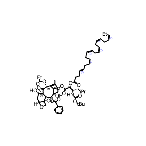 CC/C=C\C/C=C\C/C=C\C/C=C\C/C=C\C/C=C/CCC(=O)O[C@@H](C(=O)O[C@H]1C[C@@]2(O)[C@@H](OC(=O)c3ccccc3)C3[C@](C)(C(=O)[C@H](OC(=O)CC)C(=C1C)C2(C)C)[C@@H](O)C[C@H]1OC[C@@]31OC(C)=O)[C@H](CC(C)C)NC(=O)OC(C)(C)C